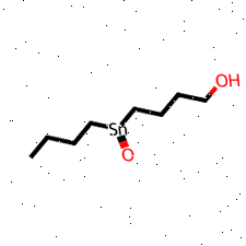 CCC[CH2][Sn](=[O])[CH2]CCCO